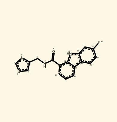 O=C(NCc1cscn1)c1nccc2c1[nH]c1cc(F)ccc12